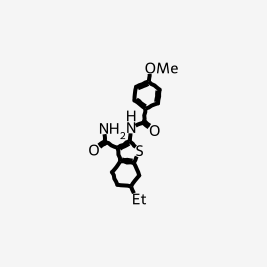 CCC1CCc2c(sc(NC(=O)c3ccc(OC)cc3)c2C(N)=O)C1